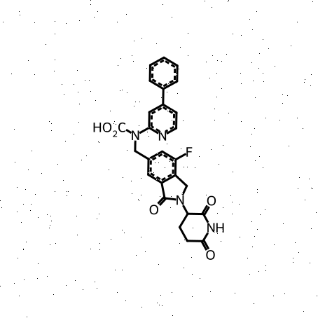 O=C1CCC(N2Cc3c(F)cc(CN(C(=O)O)c4cc(-c5ccccc5)ccn4)cc3C2=O)C(=O)N1